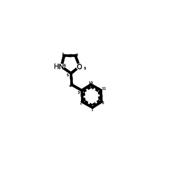 c1ccc(CC2NCCO2)cc1